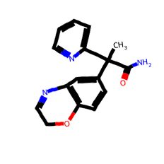 CC(C(N)=O)(c1ccc2c(c1)N=CCO2)c1ccccn1